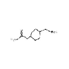 CCCC(C)CC1CCC(CC(N)=O)CC1